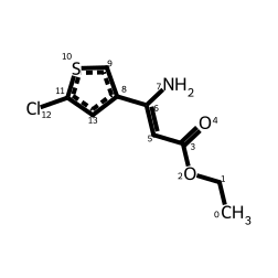 CCOC(=O)C=C(N)c1csc(Cl)c1